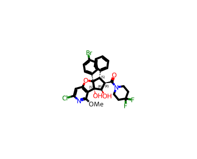 COc1nc(Cl)cc2c1[C@]1(O)[C@H](O)[C@H](C(=O)N3CCC(F)(F)CC3)[C@@H](c3ccccc3)[C@]1(c1ccc(Br)cc1)O2